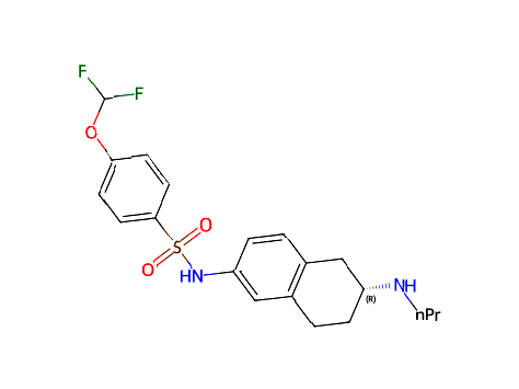 CCCN[C@@H]1CCc2cc(NS(=O)(=O)c3ccc(OC(F)F)cc3)ccc2C1